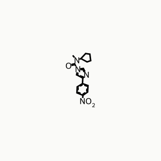 CN(C(=O)n1cnc(-c2ccc([N+](=O)[O-])cc2)c1)C1CCCC1